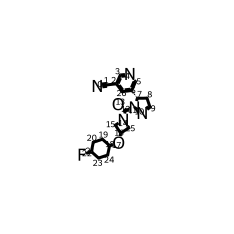 N#Cc1cncc([C@@H]2CC=NN2C(=O)N2CC(OC3CCC(F)CC3)C2)c1